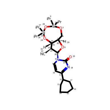 CC(C)[Si]1(C(C)C)OC[C@H]2O[C@@H](n3ccc(C4CCCCC4)nc3=O)[C@@H](C#N)[C@@H]2O[Si](C(C)C)(C(C)C)O1